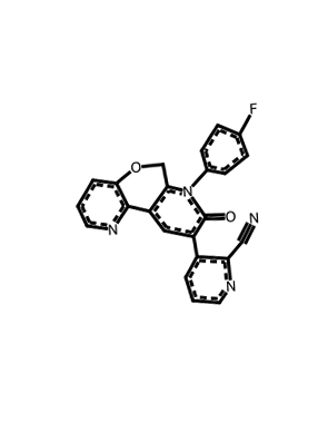 N#Cc1ncccc1-c1cc2c(n(-c3ccc(F)cc3)c1=O)COc1cccnc1-2